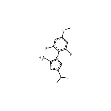 COc1cc(F)c(-n2cc(C(C)C)nc2N)c(F)c1